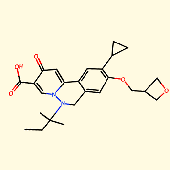 CCC(C)(C)N1Cc2cc(OCC3COC3)c(C3CC3)cc2-c2cc(=O)c(C(=O)O)cn21